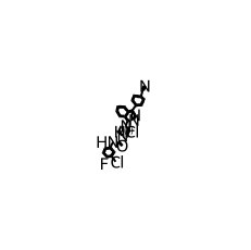 C[C@H]1CN(C(=O)Nc2ccc(F)c(Cl)c2)CCN1c1nnc(-c2ccc(C#N)cc2)c2ccccc12.Cl